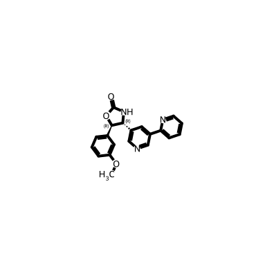 COc1cccc([C@H]2OC(=O)N[C@@H]2c2cncc(-c3ccccn3)c2)c1